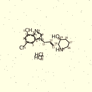 Cc1cc(Cl)cc2c1ncn2C/C=C/[C@H]1NCCC[C@@H]1O.Cl.Cl